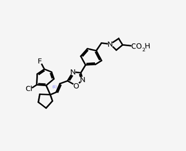 O=C(O)C1CN(Cc2ccc(-c3noc(/C=C/C4(c5ccc(F)cc5Cl)CCCC4)n3)cc2)C1